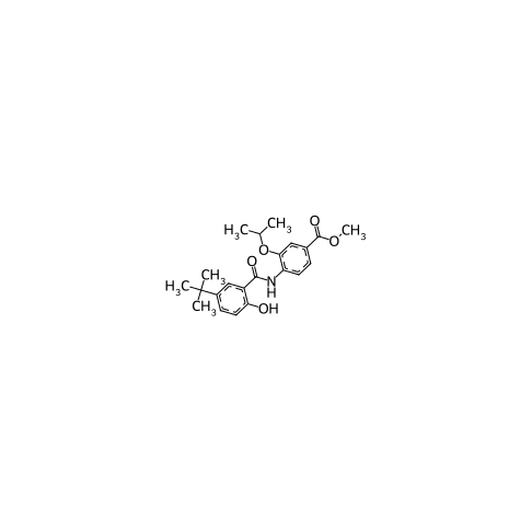 COC(=O)c1ccc(NC(=O)c2cc(C(C)(C)C)ccc2O)c(OC(C)C)c1